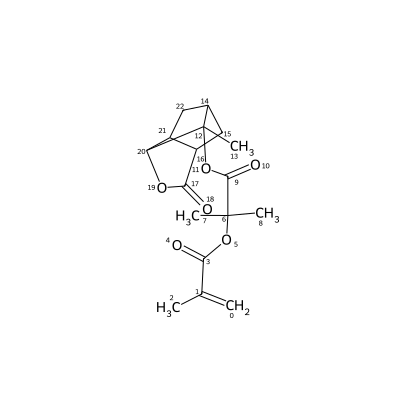 C=C(C)C(=O)OC(C)(C)C(=O)OC1(C)C2CC3C(=O)OC1C3C2